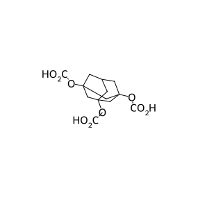 O=C(O)OC12CC3CC(OC(=O)O)(C1)CC(OC(=O)O)(C3)C2